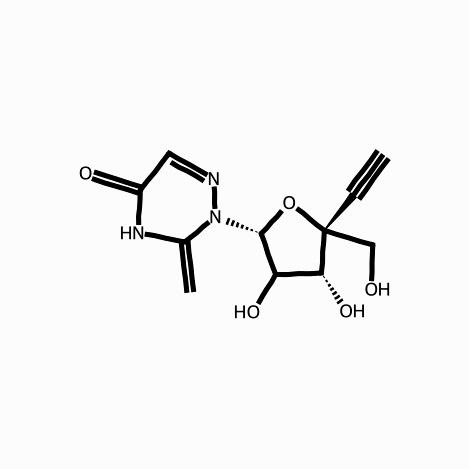 C#C[C@]1(CO)O[C@@H](N2N=CC(=O)NC2=C)C(O)[C@H]1O